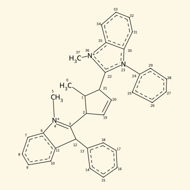 CC1C(C2=[N+](C)c3ccccc3C2c2ccccc2)C=CC1c1n(-c2ccccc2)c2ccccc2[n+]1C